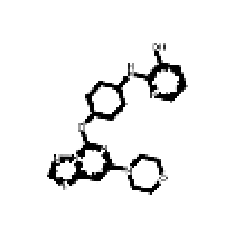 Oc1cccnc1NC1CCC(Oc2nc(N3CCOCC3)cc3ncnn23)CC1